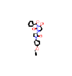 C#CCOc1ccc(N2CCC(n3ccc(=O)n(C(=O)c4ccccc4)c3=O)C2=O)cc1